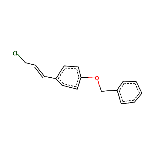 ClCC=Cc1ccc(OCc2ccccc2)cc1